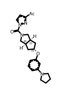 CC(=O)c1ccn(C(=O)N2C[C@H]3C[C@H](Oc4cccc(N5CCCC5)c4)C[C@H]3C2)n1